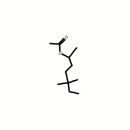 [CH2]CC(C)(C)CCC([CH2])OC(C)=O